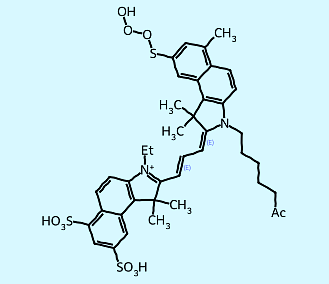 CC[N+]1=C(/C=C/C=C2/N(CCCCCC(C)=O)c3ccc4c(C)cc(SOOO)cc4c3C2(C)C)C(C)(C)c2c1ccc1c(S(=O)(=O)O)cc(S(=O)(=O)O)cc21